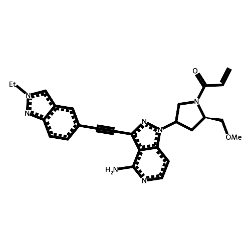 C=CC(=O)N1CC(n2nc(C#Cc3ccc4nn(CC)cc4c3)c3c(N)nccc32)C[C@@H]1COC